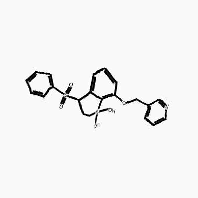 O=S(=O)(c1ccccc1)C1CS(O)(O)c2c(OCc3cccnc3)cccc21